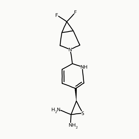 NC1(N)S[C@@H]1C1=CNC(N2CC3C(C2)C3(F)F)C=C1